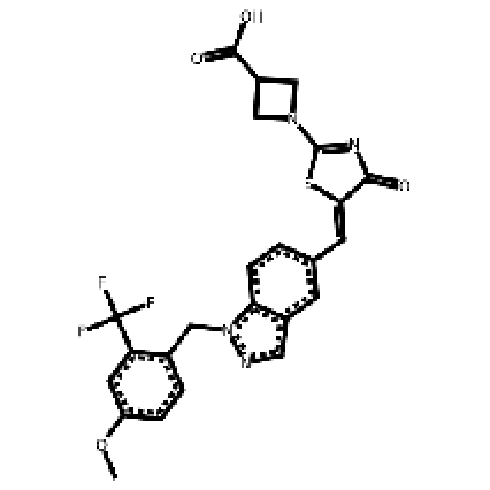 COc1ccc(Cn2ncc3cc(/C=C4\SC(N5CC(C(=O)O)C5)=NC4=O)ccc32)c(C(F)(F)F)c1